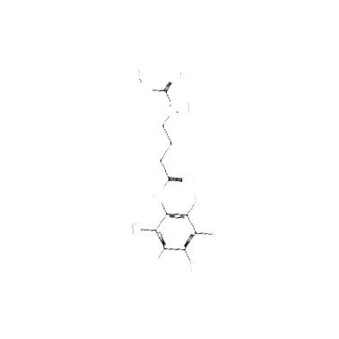 CC(C)(C)OC(=O)NCCCC(=O)Oc1c(F)c(F)c(F)c(F)c1F